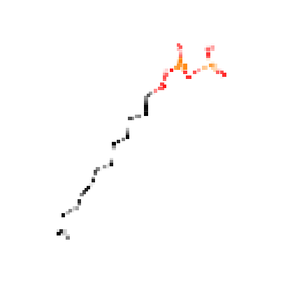 CCCCCCCCCCCCOO[PH](=O)O[PH](=O)O